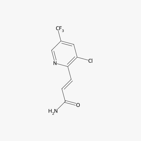 NC(=O)C=Cc1ncc(C(F)(F)F)cc1Cl